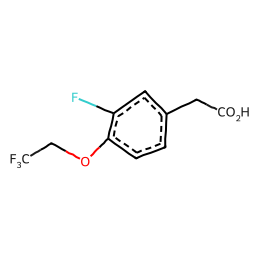 O=C(O)Cc1ccc(OCC(F)(F)F)c(F)c1